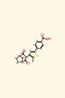 Cc1sc(-c2ccc(C(=O)O)cc2)cc1C1C(=O)C2CCC(C2)C1=O